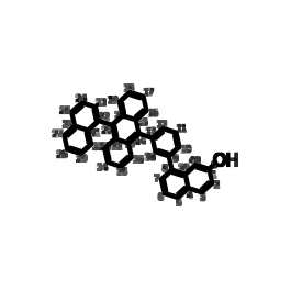 Oc1ccc2cccc(-c3cccc(-c4c5ccccc5c(-c5cccc6ccccc56)c5ccccc45)c3)c2c1